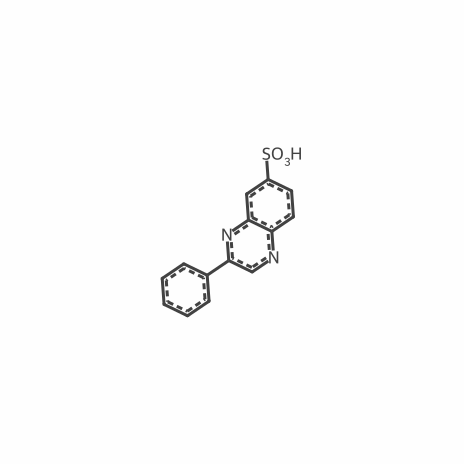 O=S(=O)(O)c1ccc2ncc(-c3ccccc3)nc2c1